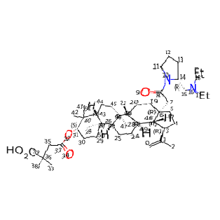 C=C(C)[C@@H]1CC[C@]2(CC(=O)N3CCC[C@@H]3CN(CC)CC)CC[C@]3(C)[C@H](CC[C@@H]4[C@@]5(C)CC[C@H](OC(=O)CC(C)(C)C(=O)O)C(C)(C)[C@@H]5CC[C@]43C)[C@@H]12